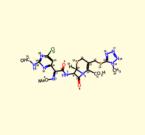 CON=C(C(=O)NC1C(=O)N2C(C(=O)O)=C(CSc3nnnn3C)CS[C@@H]12)c1cc(Cl)nc(NC=O)n1